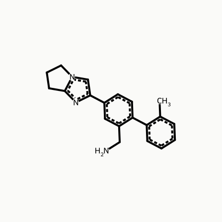 Cc1ccccc1-c1ccc(-c2cn3c(n2)CCC3)cc1CN